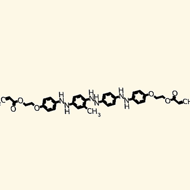 C=CC(=O)OCCOc1ccc(NNc2ccc(NNc3ccc(NNc4ccc(OCCOC(=O)C=C)cc4)cc3C)cc2)cc1